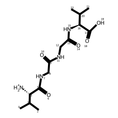 CC(C)[C@H](N)C(=O)NCC(=O)NCC(=O)N[C@H](C(=O)O)C(C)C